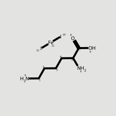 NCCCCC(N)C(=O)O.[I][Fe][I]